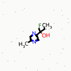 C[CH]C(O)(CF)c1cnc(C)cn1